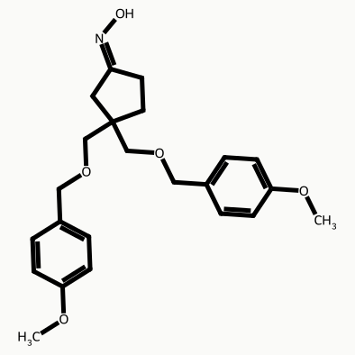 COc1ccc(COCC2(COCc3ccc(OC)cc3)CC/C(=N\O)C2)cc1